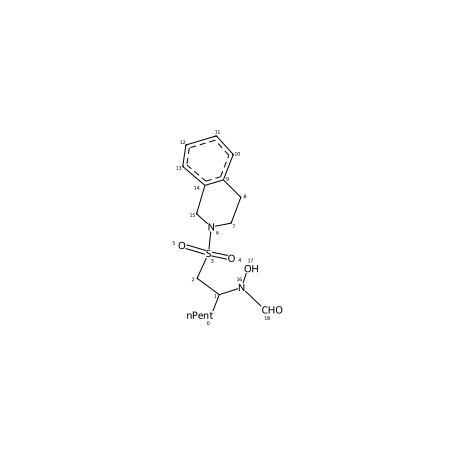 CCCCCC(CS(=O)(=O)N1CCc2ccccc2C1)N(O)C=O